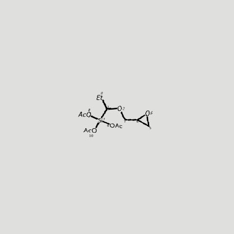 CCC(OCC1CO1)[Si](OC(C)=O)(OC(C)=O)OC(C)=O